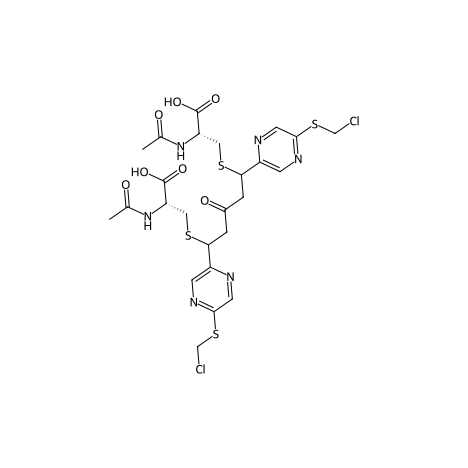 CC(=O)N[C@@H](CSC(CC(=O)CC(SC[C@H](NC(C)=O)C(=O)O)c1cnc(SCCl)cn1)c1cnc(SCCl)cn1)C(=O)O